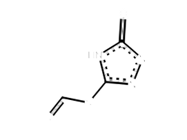 O=CSc1n[nH]c(=O)[nH]1